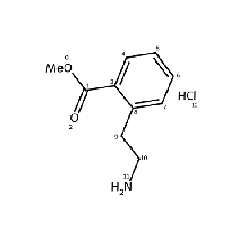 COC(=O)c1ccccc1CCN.Cl